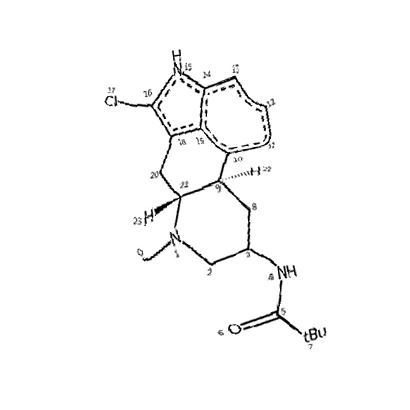 CN1CC(NC(=O)C(C)(C)C)C[C@@H]2c3cccc4[nH]c(Cl)c(c34)C[C@H]21